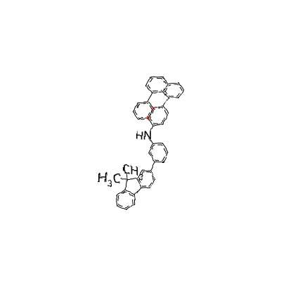 CC1(C)c2ccccc2-c2ccc(-c3cccc(Nc4ccc(-c5cccc6cccc(-c7ccccc7)c56)cc4)c3)cc21